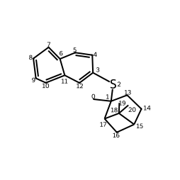 CC1(Sc2ccc3ccccc3c2)CCC2CC1C2(C)C